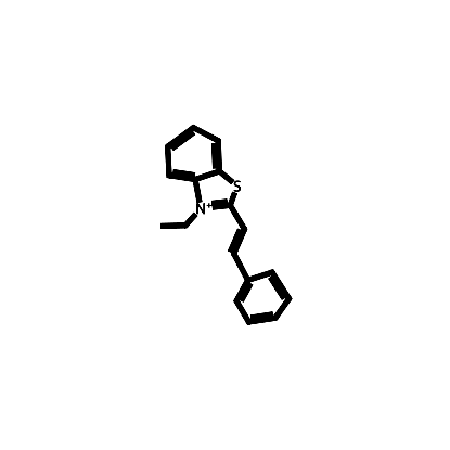 CC[n+]1c(/C=C/c2ccccc2)sc2ccccc21